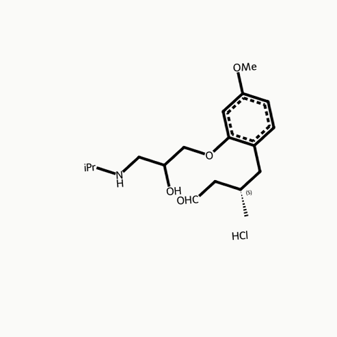 COc1ccc(C[C@H](C)CC=O)c(OCC(O)CNC(C)C)c1.Cl